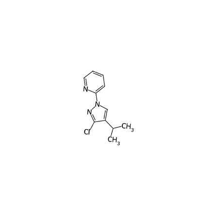 CC(C)c1cn(-c2ccccn2)nc1Cl